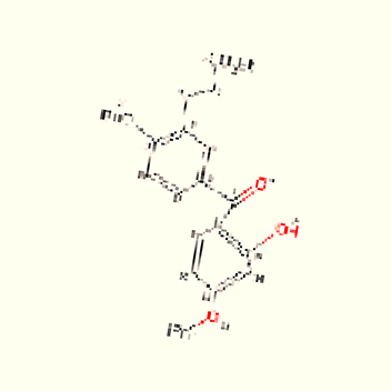 CCOC(=O)CCc1cc(C(=O)c2ccc(OC(C)C)cc2O)ccc1OCC(C)C